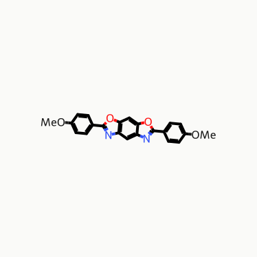 COc1ccc(-c2nc3cc4nc(-c5ccc(OC)cc5)oc4cc3o2)cc1